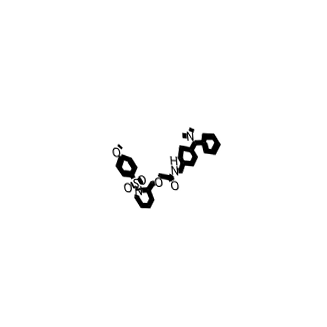 COc1ccc(S(=O)(=O)N2CCCCC2COCC(=O)NCC2CCC(C(c3ccccc3)N(C)C)CC2)cc1